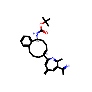 C=C1C=C(C(C)=N)C(C)=NC(/C2=C/CC[C@H](NC(=O)OC(C)(C)C)c3ccccc3CCC2)=C1